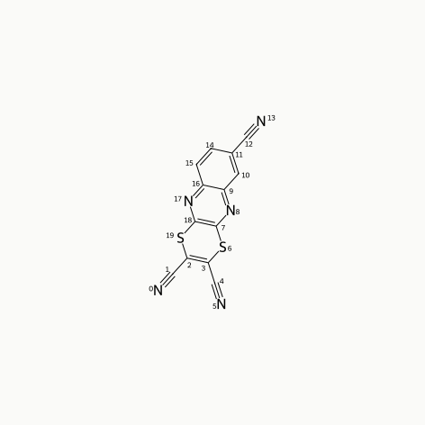 N#CC1=C(C#N)Sc2nc3cc(C#N)ccc3nc2S1